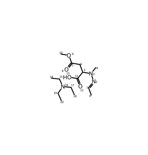 CC=NN(C)C(CC(=O)OC)C(=O)O.CCN(CC)CC